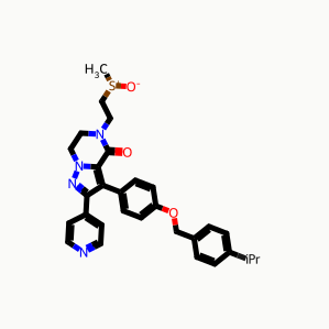 CC(C)c1ccc(COc2ccc(-c3c(-c4ccncc4)nn4c3C(=O)N(CC[S+](C)[O-])CC4)cc2)cc1